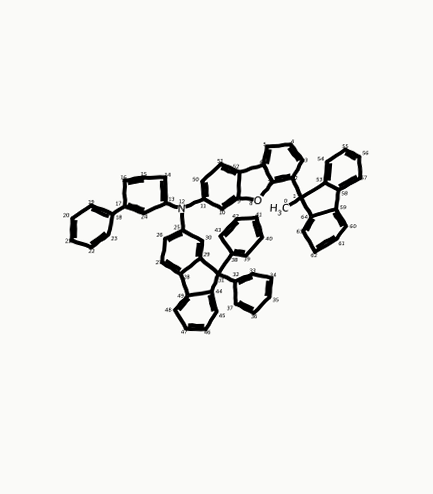 CC1(c2cccc3c2oc2cc(N(c4cccc(-c5ccccc5)c4)c4ccc5c(c4)C(c4ccccc4)(c4ccccc4)c4ccccc4-5)ccc23)c2ccccc2-c2ccccc21